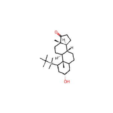 CC(C)(C)[Si](C)(C)C1C[C@@H](O)CC2CC[C@@H]3[C@H](CC[C@]4(C)C(=O)CC[C@@H]34)[C@]21C